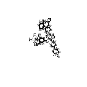 CN1CCN(C2CCN(C(=O)[C@@H](Cc3cc(Br)c(N)c(C(F)(F)F)c3)OC(=O)N3CCC4(CC3)CC(=O)Nc3ccccc34)CC2)CC1